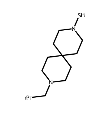 CC(C)CN1CCC2(CCN(S)CC2)CC1